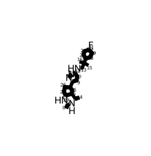 C=C1NC(=C)c2cc(-c3ccc(NCC(C)(C)c4ccc(F)cc4)nn3)ccc2N1